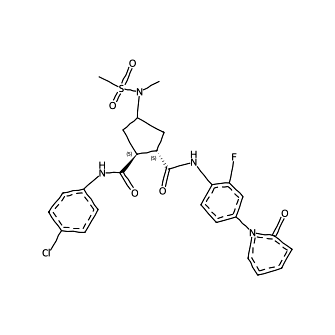 CN(C1C[C@H](C(=O)Nc2ccc(Cl)cc2)[C@@H](C(=O)Nc2ccc(-n3ccccc3=O)cc2F)C1)S(C)(=O)=O